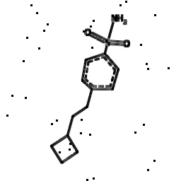 NS(=O)(=O)c1ccc(CCC2CCC2)cc1